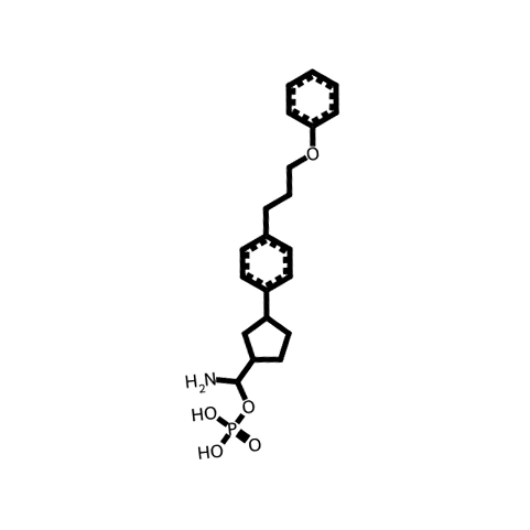 NC(OP(=O)(O)O)C1CCC(c2ccc(CCCOc3ccccc3)cc2)C1